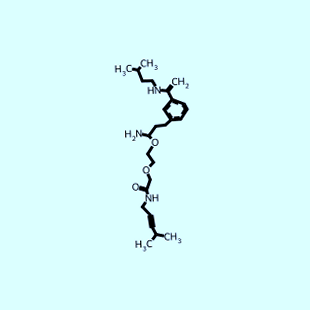 C=C(NCCC(C)C)c1cccc(CCC(N)OCCOCC(=O)NCC#CC(C)C)c1